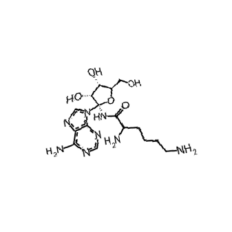 NCCCCC(N)C(=O)N[C@@]1(n2cnc3c(N)ncnc32)O[C@H](CO)[C@@H](O)[C@H]1O